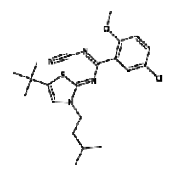 COc1ccc(Cl)cc1C(=NC#N)/N=c1\sc(C(C)(C)C)cn1CCC(C)C